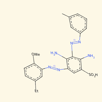 CCc1ccc(OC)c(/N=N/c2cc(S(=O)(=O)O)c(N)c(/N=N/c3cccc(C)c3)c2N)c1